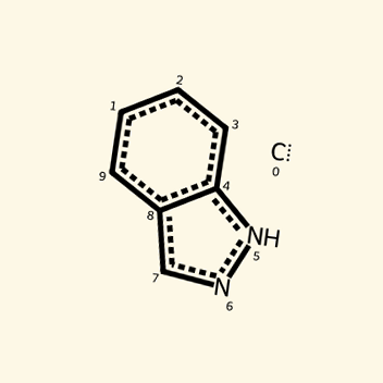 [C].c1ccc2[nH]ncc2c1